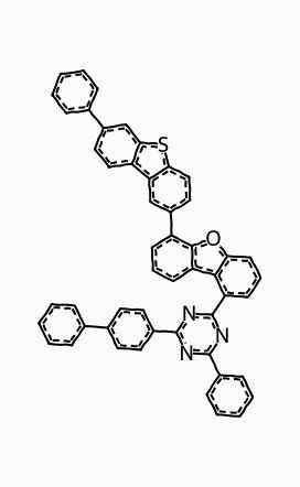 c1ccc(-c2ccc(-c3nc(-c4ccccc4)nc(-c4cccc5oc6c(-c7ccc8sc9cc(-c%10ccccc%10)ccc9c8c7)cccc6c45)n3)cc2)cc1